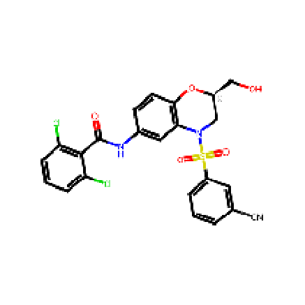 N#Cc1cccc(S(=O)(=O)N2C[C@H](CO)Oc3ccc(NC(=O)c4c(Cl)cccc4Cl)cc32)c1